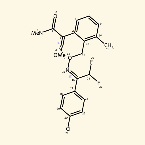 CNC(=O)/C(=N/OC)c1cccc(C)c1CO/N=C(/c1ccc(Cl)cc1)C(F)F